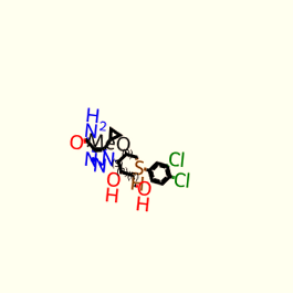 CO[C@H]1C[SH](c2ccc(Cl)c(Cl)c2)[C@H](CO)[C@H](O)[C@@H]1n1nnc(C(N)=O)c1C1CC1